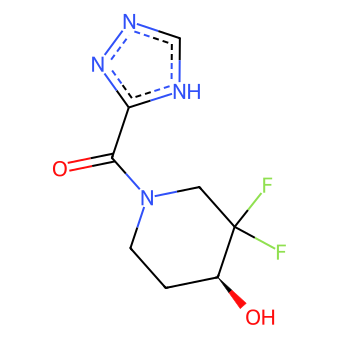 O=C(c1nnc[nH]1)N1CC[C@H](O)C(F)(F)C1